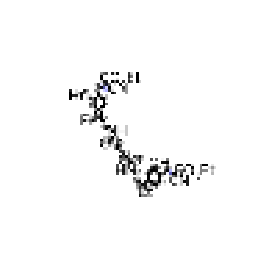 CCOC(=O)/C(C#N)=C/c1ccc(N(CC)CCNC(=O)OCCOC(=O)NCCN(CC)c2ccc(/C=C(\C#N)C(=O)OCC)c(O)c2)cc1O